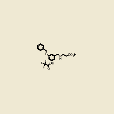 O=C(O)C(F)(F)F.O=C(O)CCNCc1cccc(OCc2ccccc2)c1